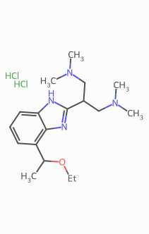 CCOC(C)c1cccc2[nH]c(C(CN(C)C)CN(C)C)nc12.Cl.Cl